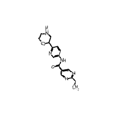 CCc1ncc(C(=O)Nc2ccc(C3CNCCO3)nc2)cn1